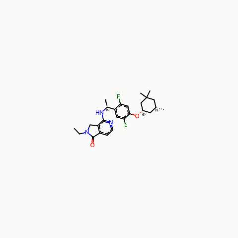 CCN1Cc2c(ccnc2N[C@@H](C)c2cc(F)c(O[C@H]3C[C@@H](C)CC(C)(C)C3)cc2F)C1=O